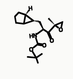 CC(C)(C)OC(=O)N[C@@H](C[C@@H]1C2CCC[C@H]21)C(=O)[C@@]1(C)CO1